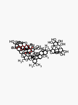 CC[C@H](C)[C@H](C[C@H](O)CC(=O)O[C@H]1C(C)O[C@@H](OC(=O)[C@]23CCC(C)(C)CC2C2=CCC4C5(C)CC[C@H](O[C@@H]6OC[C@@H](O)[C@H](O[C@@H]7OC[C@@H](O)[C@H](O)C7O)C6O[C@@H]6OC(CO)[C@H](O)[C@H](O)C6O)[C@](C)(C=O)[C@@H]5CC[C@]4(C)[C@]2(C)CC3O)C(O[C@@H]2OC(C)[C@H](O[C@@H]3OC[C@@H](O)C(O[C@@H]4OCC(O)(CO)[C@@H]4O)C3O)C(O)C2O)C1O)OC(=O)C[C@@H](O)C[C@H](O[C@@H]1O[C@@H](CO)C(O)C1O)[C@@H](C)CC